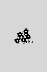 CCCCc1ccc2c3c1-c1cccc4c5ccccc5n(c14)B3c1ccccc1N2c1ccccc1